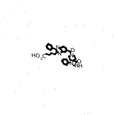 O=C(O)CCCCc1nc2cc(C(=O)N3CCC4(CC3)C(=O)NCN4c3ccccc3)ccc2nc1-c1ccccc1